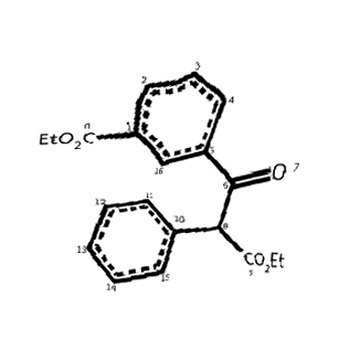 CCOC(=O)c1cccc(C(=O)C(C(=O)OCC)c2ccccc2)c1